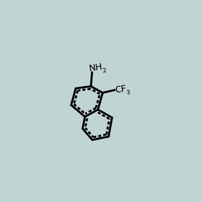 Nc1ccc2ccccc2c1C(F)(F)F